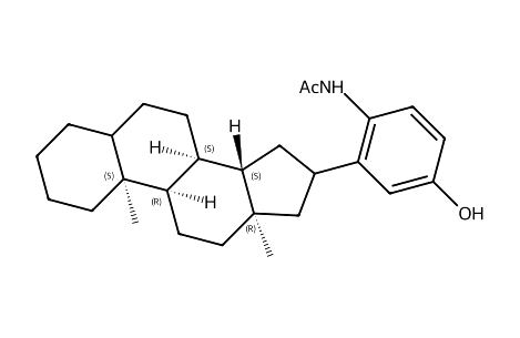 CC(=O)Nc1ccc(O)cc1C1C[C@H]2[C@@H]3CCC4CCCC[C@]4(C)[C@@H]3CC[C@]2(C)C1